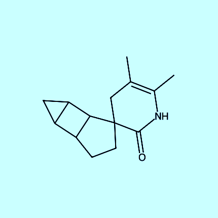 CC1=C(C)NC(=O)C2(CCC3C4CC4C32)C1